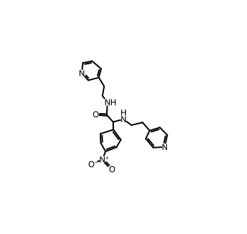 O=C(NCCc1cccnc1)C(NCCc1ccncc1)c1ccc([N+](=O)[O-])cc1